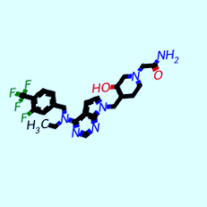 CCN(Cc1ccc(C(F)(F)F)c(F)c1)c1ncnc2c1ccn2CC1CCN(CC(N)=O)CC1O